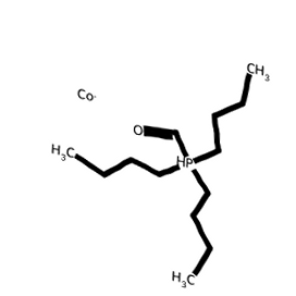 CCCC[PH](C=O)(CCCC)CCCC.[Co]